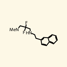 CNCC(F)(F)CNCCc1ccc2ccccc2c1